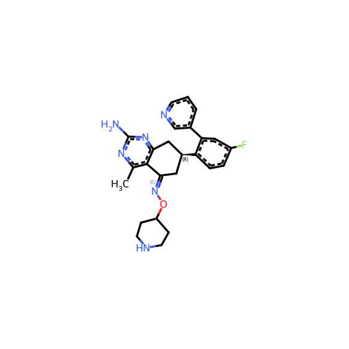 Cc1nc(N)nc2c1/C(=N/OC1CCNCC1)C[C@H](c1ccc(F)cc1-c1cccnc1)C2